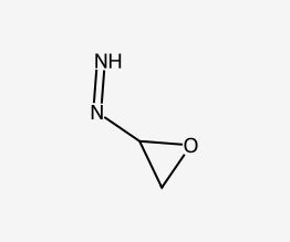 N=NC1CO1